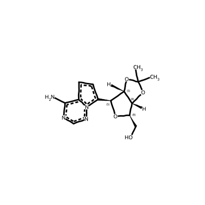 CC1(C)O[C@@H]2[C@H](O1)[C@@H](CO)O[C@H]2c1ccc2c(N)ncnn12